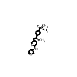 CN(C)C(=O)c1ccc(-c2cc3cnc(Nc4cccnc4)cc3n2C)cc1